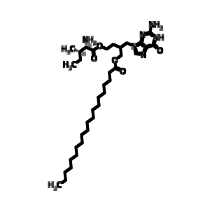 CCCCCCCCCCCCCCCCCCCC(=O)OCC(CCOC(=O)[C@@H](N)[C@@H](C)CC)Cn1cnc2c(=O)[nH]c(N)nc21